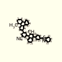 CC1CC=Cc2c1c1ccc(-c3cc(C#N)cc(C4c5ccccc5C(c5ccc(-c6nc7ccccc7s6)cc5)=CC4C)c3)cc1c1ccccc21